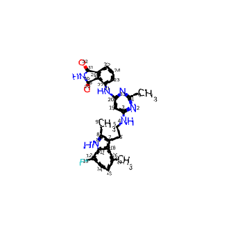 Cc1nc(NCCc2c(C)[nH]c3c(F)ccc(C)c23)cc(Nc2cccc3c2C(=O)NC3=O)n1